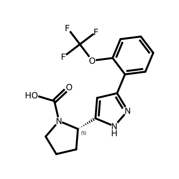 O=C(O)N1CCC[C@H]1c1cc(-c2ccccc2OC(F)(F)F)n[nH]1